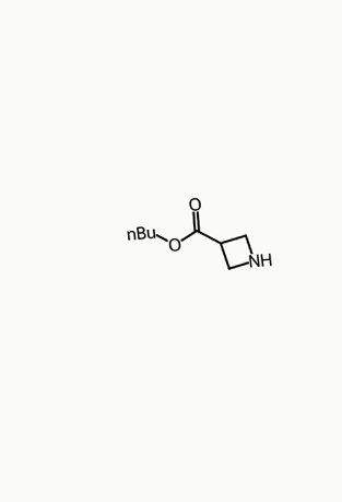 CCCCOC(=O)C1CNC1